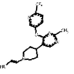 Cc1ncc(C2CCN(C=CC=O)CC2)c(Oc2ccc(C(F)(F)F)nc2)n1